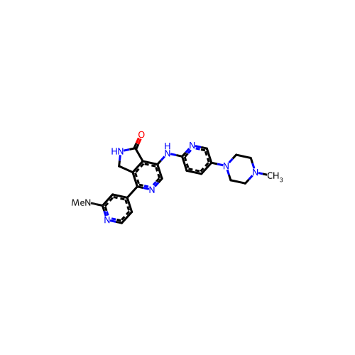 CNc1cc(-c2ncc(Nc3ccc(N4CCN(C)CC4)cn3)c3c2CNC3=O)ccn1